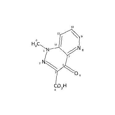 Cn1nc(C(=O)O)c(=O)c2ncccc21